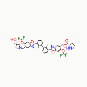 Cc1c(-c2nc3cc(COC(=O)[C@@H]4CCCN4)c(OC(F)F)cc3o2)cccc1-c1cccc(-c2nc3cc(CN4CCC(C)(CO)C4)c(OC(F)F)cc3o2)c1C